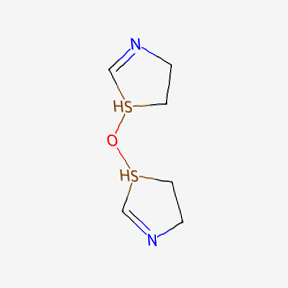 C1=NCC[SH]1O[SH]1C=NCC1